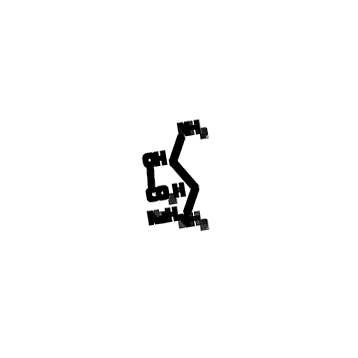 NCCN.O=C(O)O.[NaH]